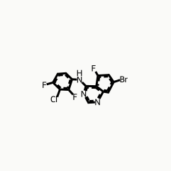 Fc1ccc(Nc2ncnc3cc(Br)cc(F)c23)c(F)c1Cl